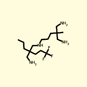 CCCC(CN)(CCC(F)(F)F)CNCCCC(C)(CN)CN